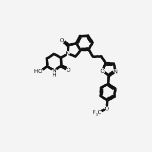 O=C1NC(O)CCC1N1Cc2c(CCc3cnc(-c4ccc(OC(F)(F)F)cc4)o3)cccc2C1=O